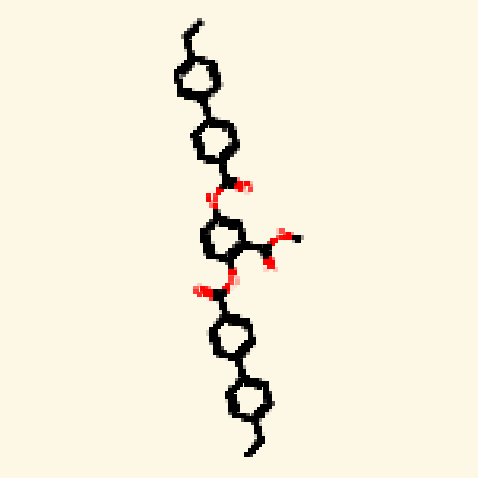 CCc1ccc(-c2ccc(C(=O)Oc3ccc(OC(=O)c4ccc(-c5ccc(CC)cc5)cc4)c(C(=O)OC)c3)cc2)cc1